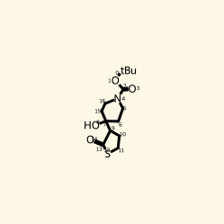 CC(C)(C)OC(=O)N1CCC(O)(C2CCSC2=O)CC1